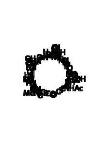 CNC(=O)[C@H]1CSCc2cccc(c2)CSC[C@H](NC(C)=O)C(=O)N[C@@H](C(C)(C)C)C(=O)N[C@@H](Cc2ccc(O)cc2)C(=O)N2CCC[C@H]2C(=O)N[C@@H]([C@@H](C)O)C(=O)N[C@@H](Cc2c[nH]c3ncccc23)C(=O)NC(C)(C)C(=O)N[C@@H](C)C(=O)N[C@@H](Cc2ccc(O)cc2)C(=O)N[C@@](C)(C(C)C)C(=O)N[C@@H]([C@@H](C)O)C(=O)N1